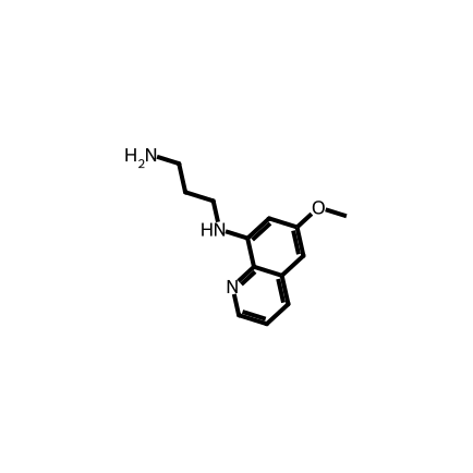 COc1cc(NCCCN)c2ncccc2c1